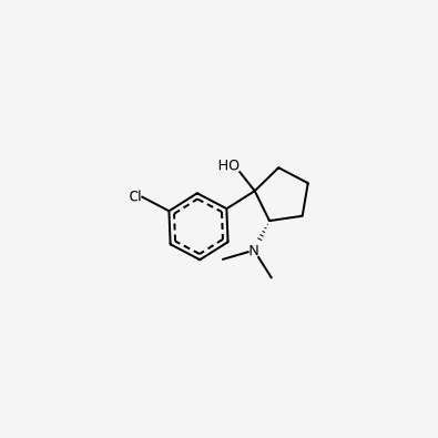 CN(C)[C@H]1CCCC1(O)c1cccc(Cl)c1